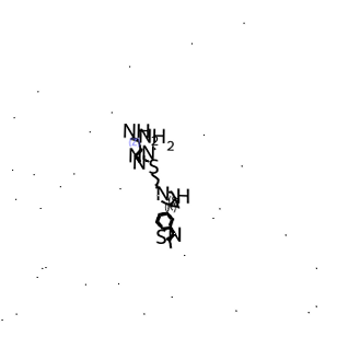 Cc1nc2cc([C@@]34C[C@@H]3CN(CCCSc3nnc(/C(N)=C/N)n3C)C4)ccc2s1